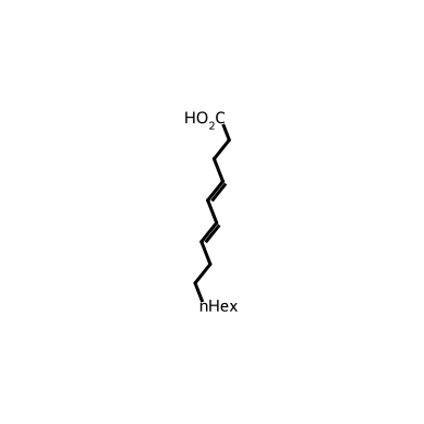 CCCCCCCCC=CC=CCCC(=O)O